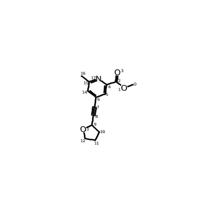 COC(=O)c1cc(C#CC2CCCO2)cc(C)n1